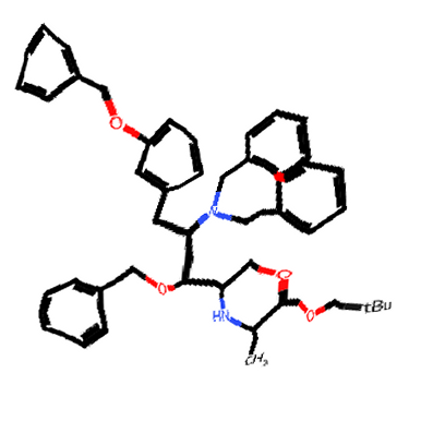 CC1NC(C(OCc2ccccc2)C(Cc2cccc(OCc3ccccc3)c2)N(Cc2ccccc2)Cc2ccccc2)COC1OCC(C)(C)C